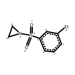 CCc1cccc(S(=O)(=O)N2CC2)c1